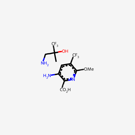 CC(O)(CN)C(F)(F)F.COc1nc(C(=O)O)c(N)cc1C(F)(F)F